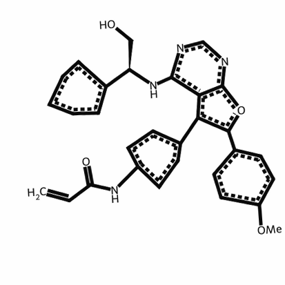 C=CC(=O)Nc1ccc(-c2c(-c3ccc(OC)cc3)oc3ncnc(N[C@H](CO)c4ccccc4)c23)cc1